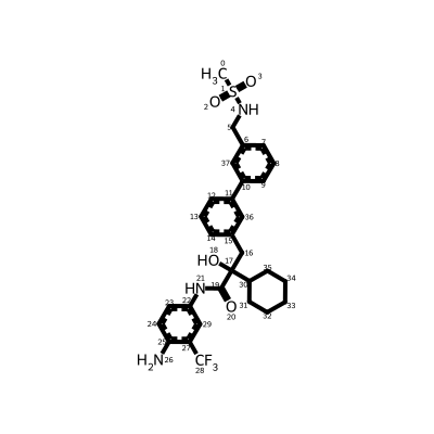 CS(=O)(=O)NCc1cccc(-c2cccc(CC(O)(C(=O)Nc3ccc(N)c(C(F)(F)F)c3)C3CCCCC3)c2)c1